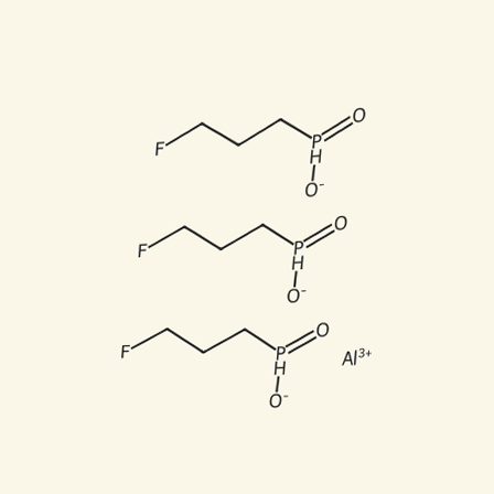 O=[PH]([O-])CCCF.O=[PH]([O-])CCCF.O=[PH]([O-])CCCF.[Al+3]